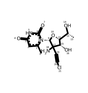 Cc1cc(=O)[nH]c(=O)n1[C@@H]1O[C@H]([C@@H](C)O)[C@H](O)C1(N)C#CCl